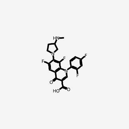 CNC1CCN(c2c(F)cc3c(=O)c(C(=O)O)cn(-c4ccc(F)cc4F)c3c2F)C1